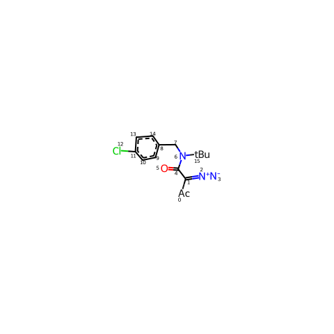 CC(=O)C(=[N+]=[N-])C(=O)N(Cc1ccc(Cl)cc1)C(C)(C)C